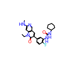 CCn1c(=O)c(-c2ccc(F)c(NC(=O)NC3CCCCC3)c2)cc2cnc(NC)cc21